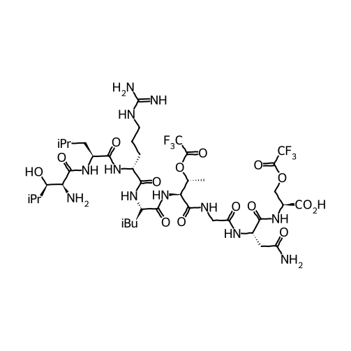 CC[C@H](C)[C@H](NC(=O)[C@@H](CCCNC(=N)N)NC(=O)[C@H](CC(C)C)NC(=O)[C@@H](N)[C@H](O)C(C)C)C(=O)N[C@H](C(=O)NCC(=O)N[C@@H](CC(N)=O)C(=O)N[C@@H](COC(=O)C(F)(F)F)C(=O)O)[C@@H](C)OC(=O)C(F)(F)F